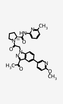 COc1ccc(-c2ccc3c(c2)c(C(C)=O)nn3CC(=O)N2CCC[C@H]2C(=O)Nc2cccc(C)n2)cn1